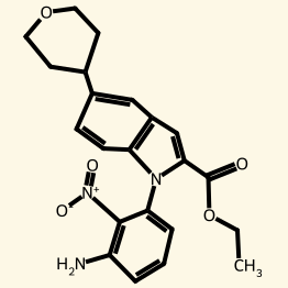 CCOC(=O)c1cc2cc(C3CCOCC3)ccc2n1-c1cccc(N)c1[N+](=O)[O-]